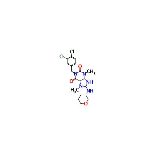 CN1C(=O)N(Cc2ccc(Cl)c(Cl)c2)C(=O)C2C1NC(N[C@H]1CCCOC1)N2C